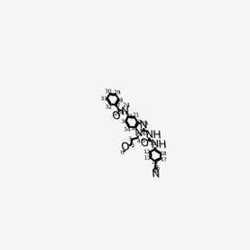 COCCCn1c(NC(=O)Nc2ccc(C#N)cc2)nc2cc(N(C)C(=O)c3ccccc3)ccc21